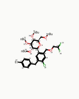 CCCCOC[C@H]1O[C@@H](c2cc(Cc3ccc(CC)cc3)c(Cl)cc2COCC(F)F)[C@H](OCCCC)[C@@H](OCCCC)[C@@H]1OCCCC